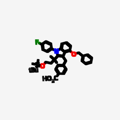 CC(C)(CCO[Si](C)(C)C(C)(C)C)c1c(Cc2ccc(C(=O)O)cc2)c2c(OCc3ccccc3)cccc2n1-c1ccc(F)cc1